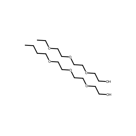 CCCCOCCOCCOCCO.CCOCCOCCOCCO